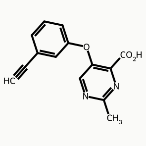 C#Cc1cccc(Oc2cnc(C)nc2C(=O)O)c1